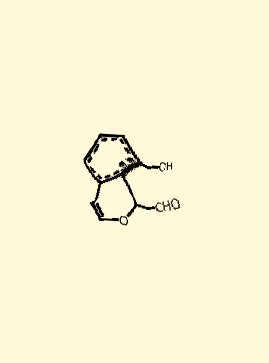 O=CC1OC=Cc2cccc(O)c21